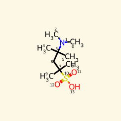 CN(C)C(C)(C)CC(C)(C)S(=O)(=O)O